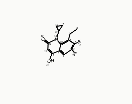 CCc1c(Br)c(F)cc2c(O)cc(=O)n(C3CC3)c12